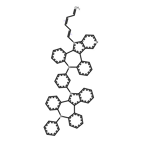 C=C/C=C\C=C\n1c2c(c3cnccc31)-c1ccccc1N(c1cccc(-n3c4c(c5ccccc53)-c3ccccc3N(c3ccccc3)c3ccccc3-4)c1)c1ccccc1-2